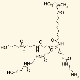 C[C@@H]1C[C@@H](O)CN1C(=O)CCCCCCCCC(=O)NC(COCCC(=O)NCCCN)(COCCC(=O)NCCCNC(=O)CCCCO)COCCC(=O)NCCCNC(=O)CCCCO